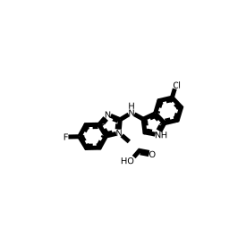 Cn1c(Nc2c[nH]c3ccc(Cl)cc23)nc2cc(F)ccc21.O=CO